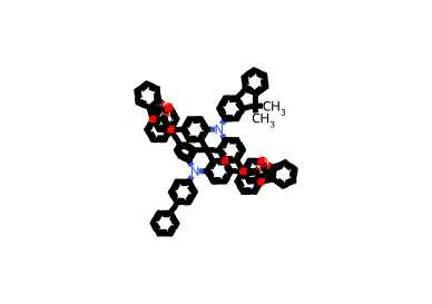 CC1(C)c2ccccc2-c2ccc(N3c4ccc(-c5cccc6c5oc5ccccc56)cc4C4(c5cc(-c6ccccc6)ccc5N(c5ccc(-c6ccccc6)cc5)c5ccc(-c6ccccc6)cc54)c4cc(-c5cccc6c5oc5ccccc56)ccc43)cc21